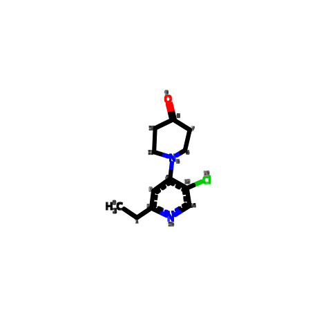 CCc1cc(N2CCC(=O)CC2)c(Cl)cn1